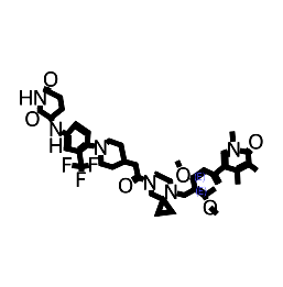 C=C(/C=C(OC)\C(CN1CCN(C(=O)CC2CCN(c3ccc(NC4CCC(=O)NC4=O)cc3C(F)(F)F)CC2)CC12CC2)=C(/C)OC)c1cn(C)c(=O)c(C)c1C